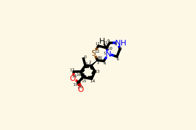 Cc1c([C@@H]2CN3CCNC[C@H]3CS2)ccc2c1COC2=O